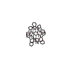 c1ccc(-c2cc(-c3c(-n4c5ccccc5c5ccccc54)c(-n4c5ccccc5c5ccccc54)c(-c4nc5ccccc5s4)c(-n4c5ccccc5c5ccccc54)c3-n3c4ccccc4c4ccccc43)nc(-c3ccccc3)n2)cc1